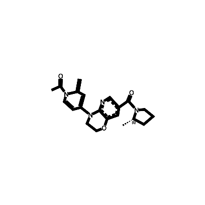 C=C1C=C(N2CCOc3cc(C(=O)N4CCC[C@@H]4C)cnc32)C=CN1C(C)=O